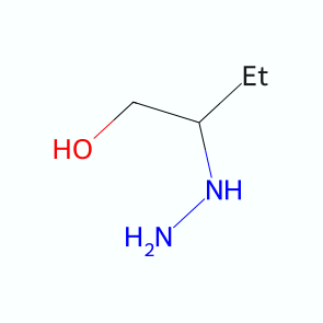 CCC(CO)NN